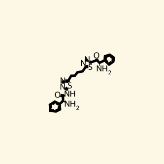 N[C@H](C(=O)Nc1nnc(CCCCc2nnc(C(=O)[C@@H](N)c3ccccc3)s2)s1)c1ccccc1